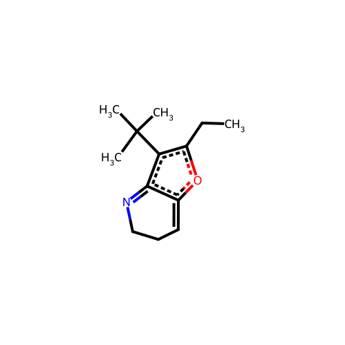 CCc1oc2c(c1C(C)(C)C)=NCCC=2